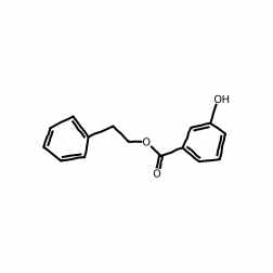 O=C(OCCc1ccccc1)c1cccc(O)c1